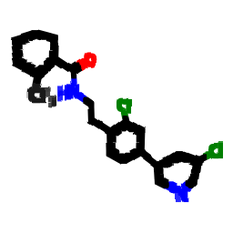 O=C(NCCc1ccc(-c2cncc(Cl)c2)cc1Cl)c1ccccc1C(F)(F)F